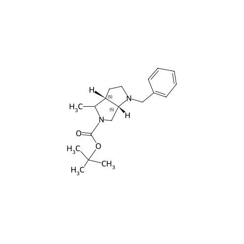 CC1[C@@H]2CCN(Cc3ccccc3)[C@@H]2CN1C(=O)OC(C)(C)C